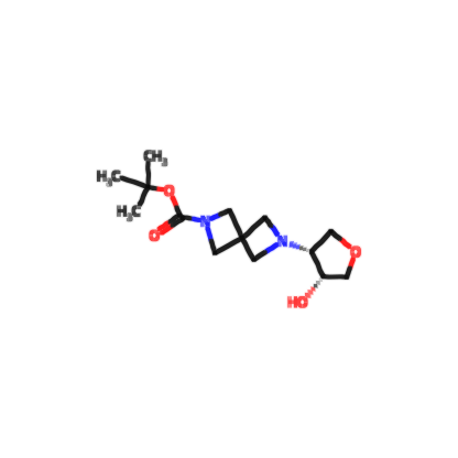 CC(C)(C)OC(=O)N1CC2(C1)CN([C@@H]1COC[C@@H]1O)C2